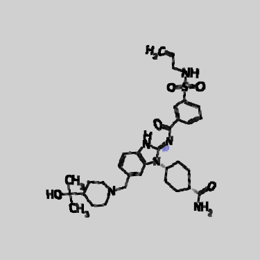 C=CCNS(=O)(=O)c1cccc(C(=O)/N=c2\[nH]c3ccc(CN4CCC(C(C)(C)O)CC4)cc3n2[C@H]2CC[C@@H](C(N)=O)CC2)c1